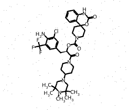 CN1C(C)(C)CN(C2CCN(C(=O)[C@@H](Cc3cc(Cl)c(N)c(C(F)(F)F)c3)OC(=O)N3CCC4(CC3)OC(=O)Nc3ccccc34)CC2)CC1(C)C